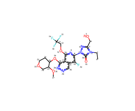 CCn1c(CO)nn(-c2nc(OCC(F)(F)F)c3c(OC4CCOCC4OC)nncc3c2F)c1=O